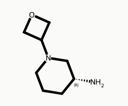 N[C@@H]1CCCN(C2COC2)C1